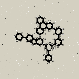 c1ccc(-c2ccc3c(c2)sc2cc(C4=NC(c5ccccc5)NC(c5cccc(-c6cccc(-c7ccc8c9ccccc9c9ccccc9c8c7)c6)c5)=N4)ccc23)cc1